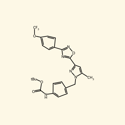 Cc1cc(-c2nc(-c3ccc(OC(F)(F)F)cc3)no2)nn1Cc1ccc(NC(=O)OC(C)(C)C)cc1